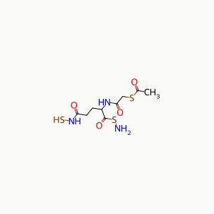 CC(=O)SCC(=O)NC(CCC(=O)NS)C(=O)SN